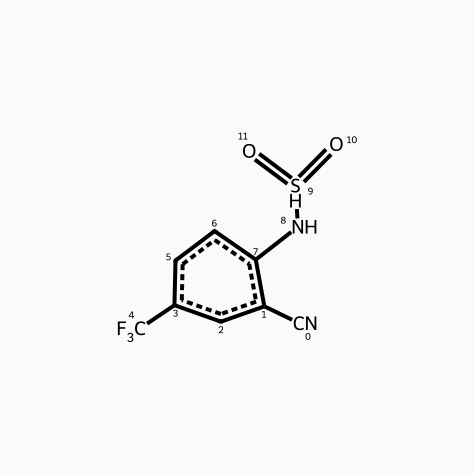 N#Cc1cc(C(F)(F)F)ccc1N[SH](=O)=O